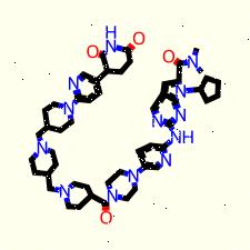 CN(C)C(=O)c1cc2cnc(Nc3ccc(N4CCN(C(=O)C5CCN(CC6CCN(CC7CCN(c8ccc(C9CCC(=O)NC9=O)cn8)CC7)CC6)CC5)CC4)cn3)nc2n1C1CCCC1